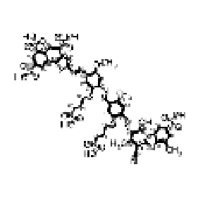 COc1cc(N=Nc2cc(OCCCS(=O)(=O)O)c(N=Nc3c(C)c(C#N)c4nc5c(C)cc(S(=O)(=O)O)cc5n4c3O)cc2C)c(SCCCS(=O)(=O)O)cc1N=Nc1nc2c(S(=O)(=O)O)cc3c(S(=O)(=O)O)cc(S(=O)(=O)O)cc3c2s1